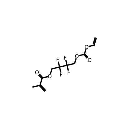 C=COC(=O)OCC(F)(F)C(F)(F)COC(=O)C(=C)C